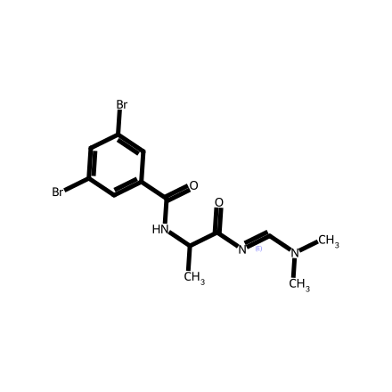 CC(NC(=O)c1cc(Br)cc(Br)c1)C(=O)/N=C/N(C)C